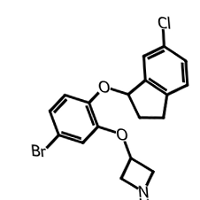 Clc1ccc2c(c1)C(Oc1ccc(Br)cc1OC1CNC1)CC2